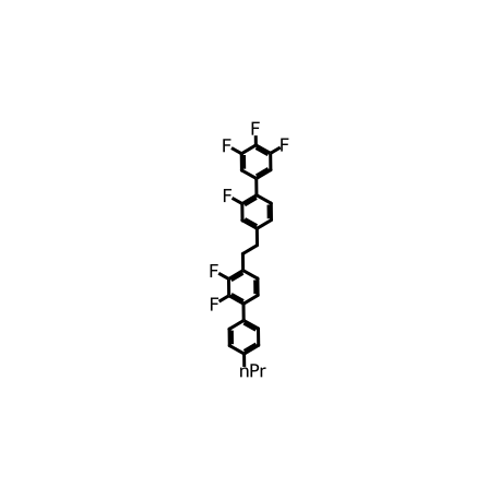 CCCc1ccc(-c2ccc(CCc3ccc(-c4cc(F)c(F)c(F)c4)c(F)c3)c(F)c2F)cc1